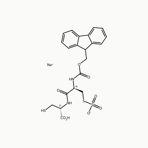 O=C(N[C@@H](CSS(=O)(=O)[O-])C(=O)N[C@@H](CS)C(=O)O)OCC1c2ccccc2-c2ccccc21.[Na+]